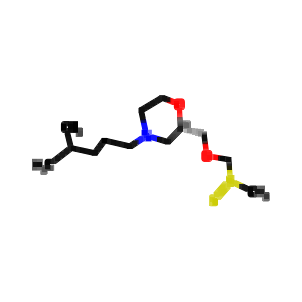 CC(C)CCCN1CCO[C@H](COCS(C)=S)C1